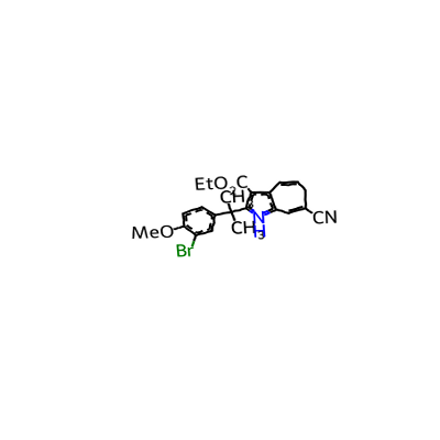 CCOC(=O)c1c(C(C)(C)c2ccc(OC)c(Br)c2)[nH]c2c1C=CCC(C#N)=C2